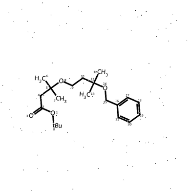 CC(C)(C)OC(=O)CC(C)(C)OCCC(C)(C)OCc1ccccc1